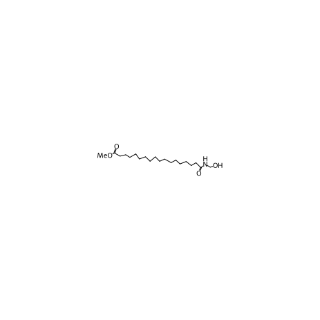 COC(=O)CCCCCCCCCCCCCCCCC(=O)NCO